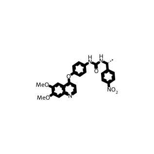 COc1cc2nccc(Oc3ccc(NC(=O)N[C@H](C)c4ccc([N+](=O)[O-])cc4)cc3)c2cc1OC